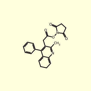 Cc1nc2c(c(-c3ccccc3)c1CC(=O)ON1C(=O)CCC1=O)=CCCC=2